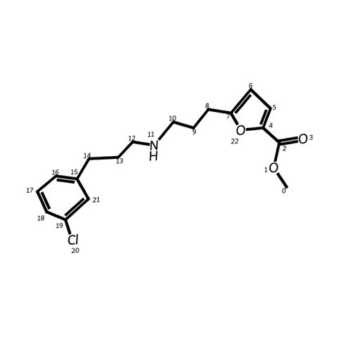 COC(=O)c1ccc(CCCNCCCc2cccc(Cl)c2)o1